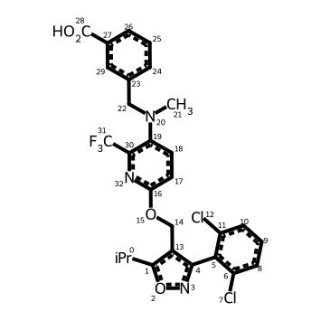 CC(C)c1onc(-c2c(Cl)cccc2Cl)c1COc1ccc(N(C)Cc2cccc(C(=O)O)c2)c(C(F)(F)F)n1